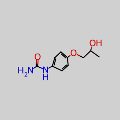 CC(O)COc1ccc(NC(N)=O)cc1